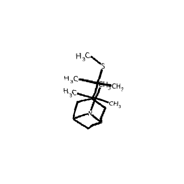 CSC(C)(C)C1CC2CC(C1)N2C(C)(C)C